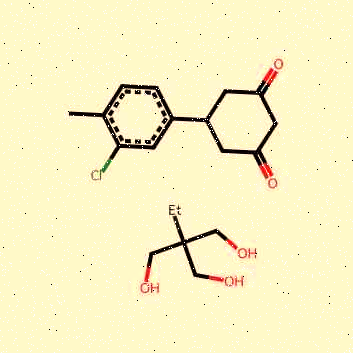 CCC(CO)(CO)CO.Cc1ccc(C2CC(=O)CC(=O)C2)cc1Cl